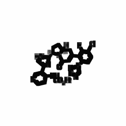 CCOC(=O)Nc1ccncc1-c1c[nH]c([C@@H]2CC[C@H]3CC(c4c(-n5cnnn5)ccc(Cl)c4F)=CC(=O)N32)n1